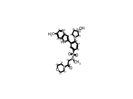 Cc1cnc2cc(-c3cc(S(=O)(=O)N(C)CC(=O)N4CCOCC4)ccc3N3CC[C@H](O)C3)[nH]c2c1